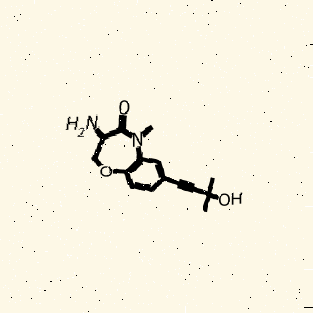 CN1C(=O)C(N)COc2ccc(C#CC(C)(C)O)cc21